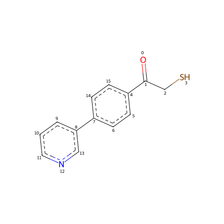 O=C(CS)c1ccc(-c2cccnc2)cc1